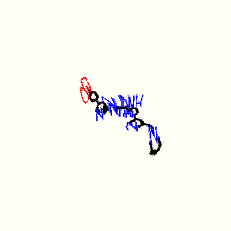 c1ncc(-c2ccc3[nH]nc(-c4nc5c(-c6ccc7c(c6)OCO7)cncc5[nH]4)c3n2)cc1CN1CCCCC1